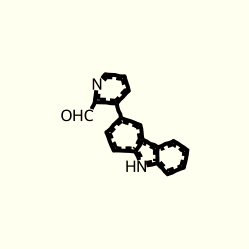 O=Cc1ncccc1-c1ccc2[nH]c3ccccc3c2c1